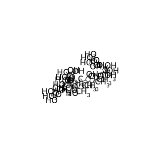 CC(CCC(OC[C@@]1(C)OC(COC[C@@]2(C)OC(CO)[C@H](O)C(O)[C@H]2O)[C@H](O)C(O)[C@H]1O[C@@]1(C)OC(CO)[C@H](O)C(O)[C@H]1O)C(C)(C)O)C(C)C1CC(O)C2(C)C3CCC(OC[C@]4(C)CC(COC[C@]5(C)OC(CO)[C@@H](O)[C@@H](O)C5O)[C@@H](O)[C@@H](O)C4O)C(C)(C)C3=CCC2C1C